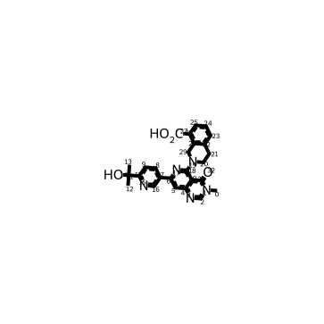 Cn1cnc2cc(-c3ccc(C(C)(C)O)nc3)nc(N3CCc4cccc(C(=O)O)c4C3)c2c1=O